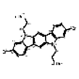 CCCCCCCCCCCCn1c2cc(Br)ccc2c2cc3c(cc21)c1ccc(Br)cc1n3CCCCCCCCCCCC